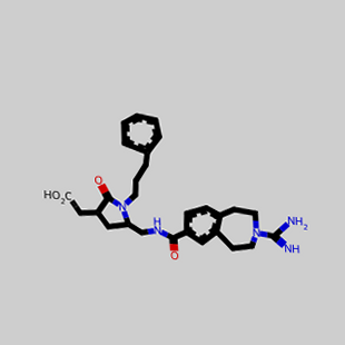 N=C(N)N1CCc2ccc(C(=O)NCC3CC(CC(=O)O)C(=O)N3CCCc3ccccc3)cc2CC1